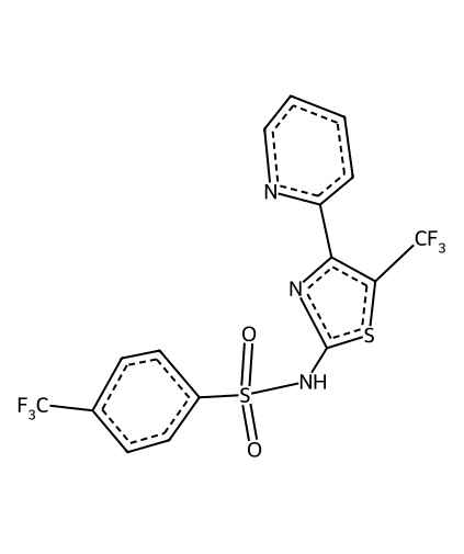 O=S(=O)(Nc1nc(-c2ccccn2)c(C(F)(F)F)s1)c1ccc(C(F)(F)F)cc1